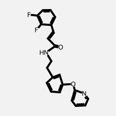 O=C(C=Cc1cccc(F)c1F)NCCc1cccc(Oc2ccccn2)c1